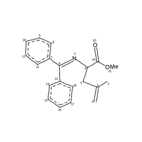 C=C(C)CC(N=C(c1ccccc1)c1ccccc1)C(=O)OC